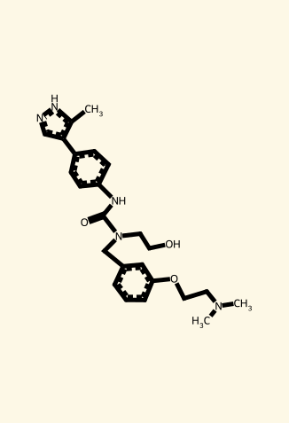 Cc1[nH]ncc1-c1ccc(NC(=O)N(CCO)Cc2cccc(OCCN(C)C)c2)cc1